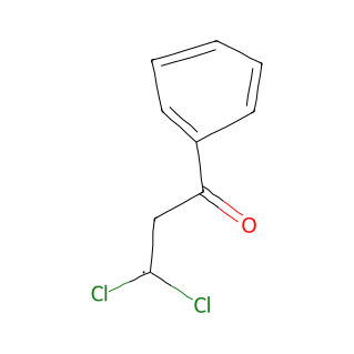 O=C(C[C](Cl)Cl)c1ccccc1